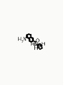 Nc1cccc2cc(C(=O)N[C@@H]3C[C@H]4CC[C@@H]3N4)ccc12